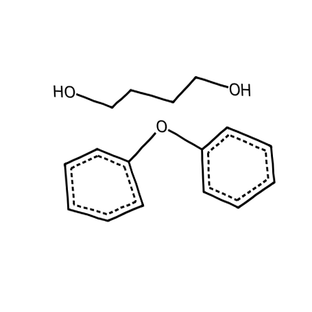 OCCCCO.c1ccc(Oc2ccccc2)cc1